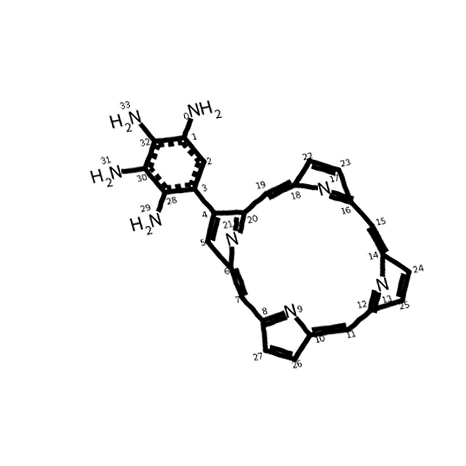 Nc1cc(C2=CC3=CC4=NC(=CC5=NC(=CC6=NC(=CC2=N3)C=C6)C=C5)C=C4)c(N)c(N)c1N